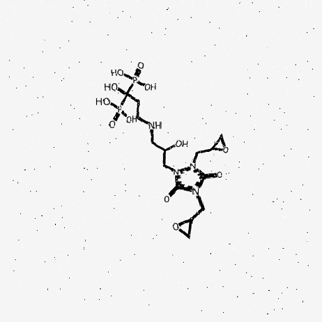 O=c1n(CC2CO2)c(=O)n(CC2CO2)n1CC(O)CNCCC(O)(P(=O)(O)O)P(=O)(O)O